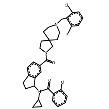 O=C(c1ccc2c(c1)C(N(C(=O)c1ccccc1Cl)C1CC1)CC2)N1CCC2(CCN(Cc3c(F)cccc3Cl)CC2)C1